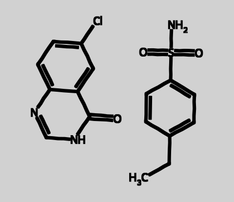 CCc1ccc(S(N)(=O)=O)cc1.O=c1[nH]cnc2ccc(Cl)cc12